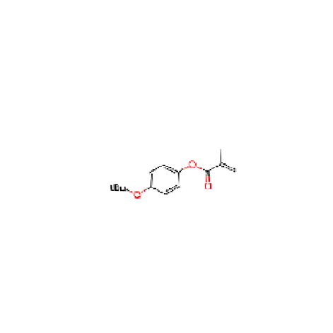 C=C(C)C(=O)Oc1ccc(OC(C)(C)C)cc1